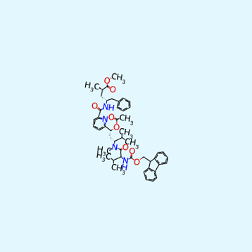 COC(=O)[C@H](C)C[C@H](Cc1ccccc1)NC(=O)c1cccc([C@@H](C[C@H](C(C)C)N(C)C(=O)[C@@H](NC(=O)OCC2c3ccccc3-c3ccccc32)C(C)C)OC(C)=O)n1